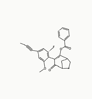 CC#Cc1cc(F)c(C2=C(OC(=O)c3ccccc3)C3CCC(C3)C2=O)c(OC)c1